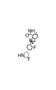 NC(=O)c1cccc2cn(-c3ccc([C@H]4CNC[C@H](F)C4)cc3F)nc12